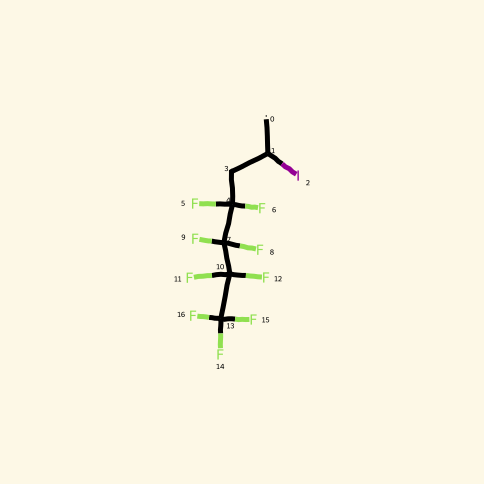 [CH2]C(I)CC(F)(F)C(F)(F)C(F)(F)C(F)(F)F